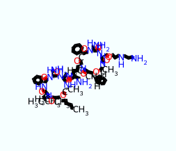 CCCCCC[C@H]1OC[C@@H](C)NC(=O)C(CN2CC(CN)C2CCC[C@H]2C(=O)C[C@@H](C3CCCCCC3)C(=O)NC(CN)C(=O)N[C@@H](COCCCNCCCN)C(=O)N[C@H](C)CO[C@H](C[C@@H]3C[C@@H]4CC[C@@H](C4)C3)[C@@H](C)C(=O)N2C)NC(=O)[C@H](CN)NC(=O)[C@H](C2CCCCC2)NC(=O)[C@H](CC(C)C)N(C)C(=O)[C@@H]1C